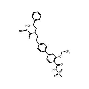 CC(C)(C)OC(=O)N(CCc1ccc(-c2ccc(C(=O)NS(C)(=O)=O)c(OCC(F)(F)F)c2)cc1)C[C@H](O)c1ccccc1